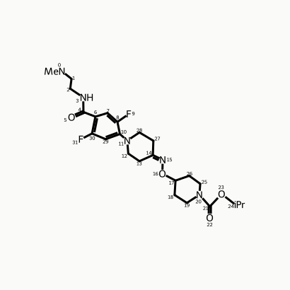 CNCCNC(=O)c1cc(F)c(N2CCC(=NOC3CCN(C(=O)OC(C)C)CC3)CC2)cc1F